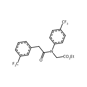 CCOC(=O)CN(C(=O)Cc1cccc(C(F)(F)F)c1)c1ccc(C(F)(F)F)cc1